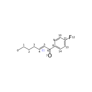 CCCC/C=C/C(=O)c1ccc(F)cc1